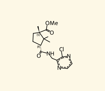 COC(=O)[C@@]1(C)CC[C@@H](C(=O)NCc2nccnc2Cl)C1(C)C